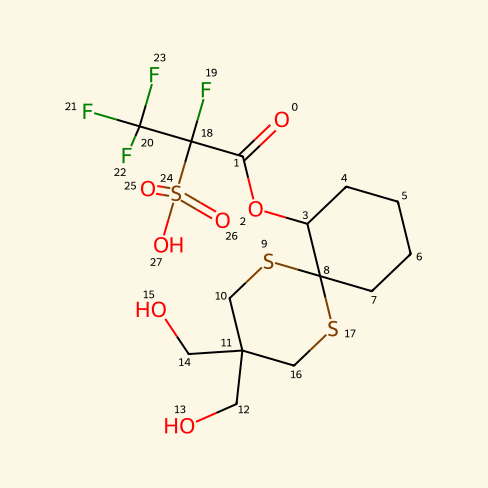 O=C(OC1CCCCC12SCC(CO)(CO)CS2)C(F)(C(F)(F)F)S(=O)(=O)O